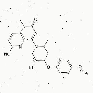 CC[C@@H]1CN(c2nc(=O)n(C)c3ccc(C#N)nc23)C(C)CC1Oc1ccc(OC(C)C)cn1